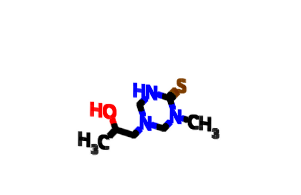 CC(O)CN1CNC(=S)N(C)C1